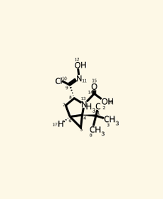 CC(C)(C)[C@@]12C[C@H]1C[C@H](C(Cl)=NO)N2C(=O)O